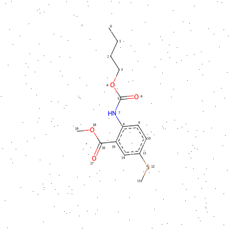 CCCCOC(=O)Nc1ccc(SC)cc1C(=O)OC